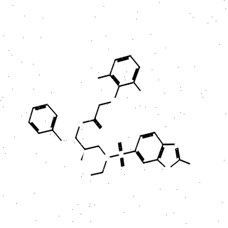 Cc1nc2ccc(S(=O)(=O)N(CC(C)C)C[C@@H](O)[C@H](Cc3ccccc3)NC(=O)COc3c(C)cccc3C)cc2o1